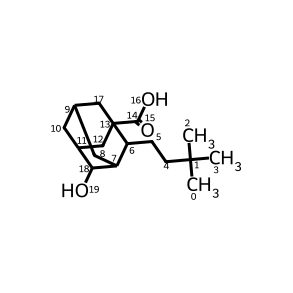 CC(C)(C)CCC1C2CC3CC(CC1(C(=O)O)C3)C2O